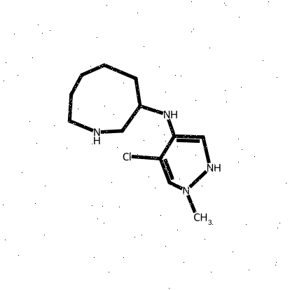 CN1C=C(Cl)C(NC2CCCCCNC2)=CN1